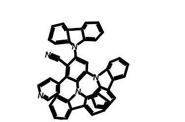 N#Cc1c(-n2c3ccccc3c3ccccc32)cc(-n2c3ccccc3c3ccccc32)c(-n2c3ccccc3c3ccccc32)c1-c1ccncc1